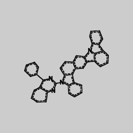 c1ccc(-c2nc(-n3c4ccccc4c4c5cc6c7cccc8c9ccccc9n(c6cc5ccc43)c87)nc3ccccc23)cc1